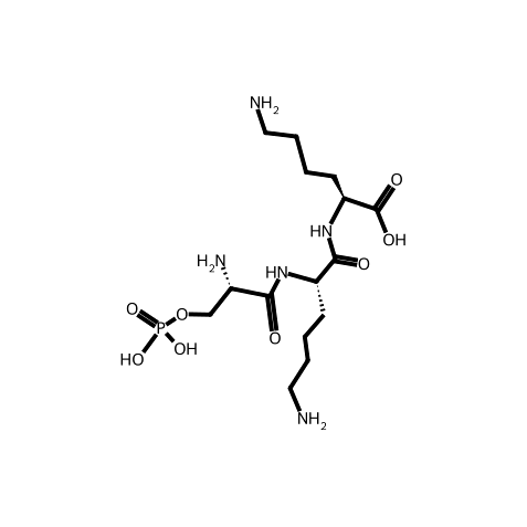 NCCCC[C@H](NC(=O)[C@H](CCCCN)NC(=O)[C@@H](N)COP(=O)(O)O)C(=O)O